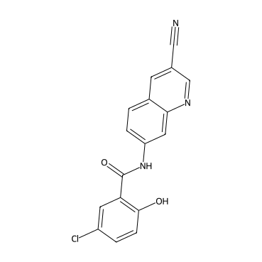 N#Cc1cnc2cc(NC(=O)c3cc(Cl)ccc3O)ccc2c1